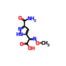 CON=C(C(=O)O)c1cc(C(N)=O)n[nH]1